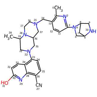 Cc1nc(N2CC3CC2CN3)ccc1CN1CCN2C(C)CN(c3ccc(C#N)c4nc(O)ccc34)CC2C1